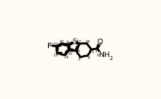 NC(=O)C1CCc2c(sc3cc(F)ccc23)C1